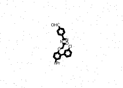 CCCc1ccc(OCc2nc(-c3ccc(C=O)cc3)no2)c(-c2cccc(Cl)c2)c1